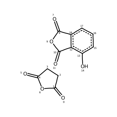 O=C1CCC(=O)O1.O=C1OC(=O)c2c(O)cccc21